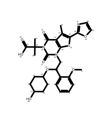 COc1ccccc1C(Cn1c(=O)n(C(C)(C)C(=O)O)c(=O)c2c(C)c(-c3ncco3)sc21)OC1CCC(O)CC1